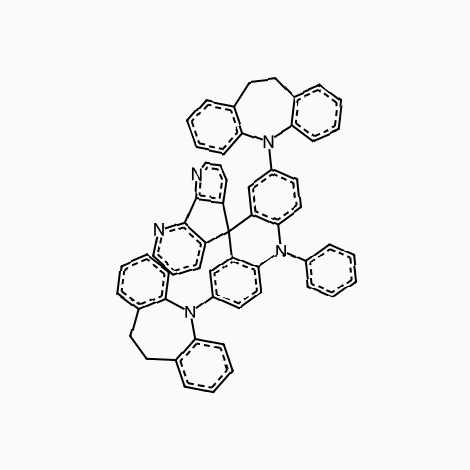 c1ccc(N2c3ccc(N4c5ccccc5CCc5ccccc54)cc3C3(c4cc(N5c6ccccc6CCc6ccccc65)ccc42)c2cccnc2-c2ncccc23)cc1